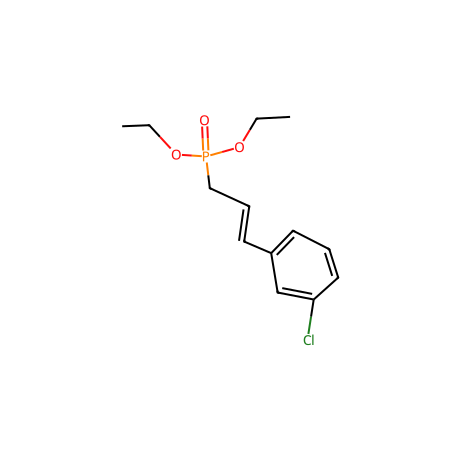 CCOP(=O)(CC=Cc1cccc(Cl)c1)OCC